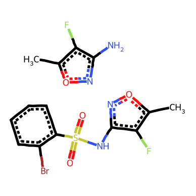 Cc1onc(N)c1F.Cc1onc(NS(=O)(=O)c2ccccc2Br)c1F